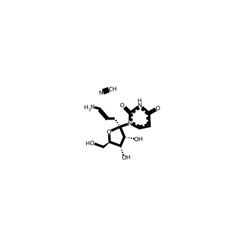 C#N.NC=CC[C@@]1(n2ccc(=O)[nH]c2=O)O[C@H](CO)[C@@H](O)[C@H]1O